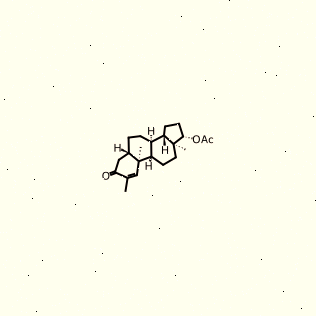 CC(=O)O[C@H]1CC[C@H]2[C@@H]3CC[C@H]4CC(=O)C(C)=C[C@]4(C)[C@H]3CC[C@]12C